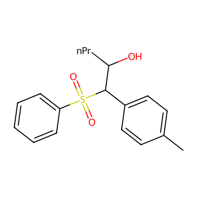 CCCC(O)C(c1ccc(C)cc1)S(=O)(=O)c1ccccc1